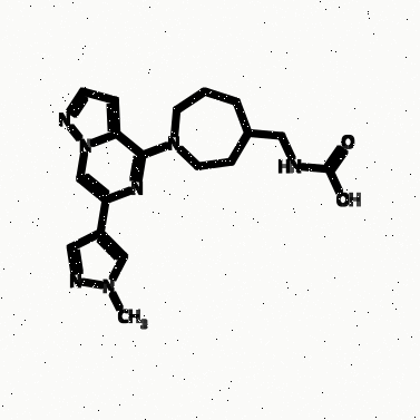 Cn1cc(-c2cn3nccc3c(N3CCCC(CNC(=O)O)CC3)n2)cn1